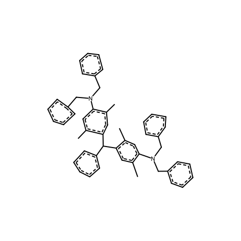 Cc1cc(N(Cc2ccccc2)Cc2ccccc2)c(C)cc1C(c1ccccc1)c1cc(C)c(N(Cc2ccccc2)Cc2ccccc2)cc1C